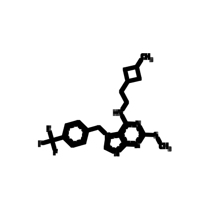 CSc1nc(NCCC2CC(C)C2)c2c(ncn2Cc2ccc(C(F)(F)F)cc2)n1